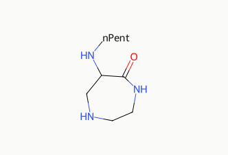 CCCCCNC1CNCCNC1=O